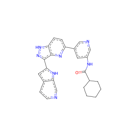 O=C(Nc1cncc(-c2ccc3[nH]nc(-c4cc5ccncc5[nH]4)c3n2)c1)C1CCCCC1